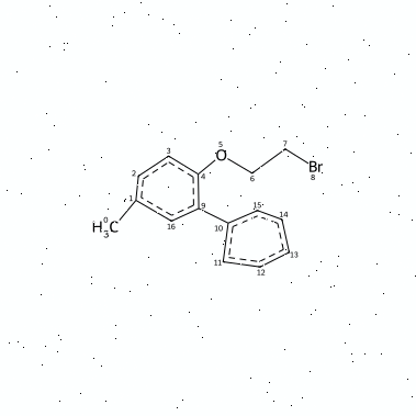 Cc1ccc(OCCBr)c(-c2ccccc2)c1